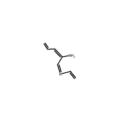 C=C/C=C(N)\C=N/C=C